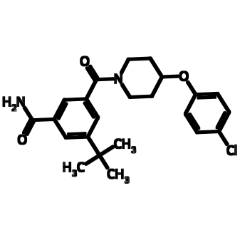 CC(C)(C)c1cc(C(N)=O)cc(C(=O)N2CCC(Oc3ccc(Cl)cc3)CC2)c1